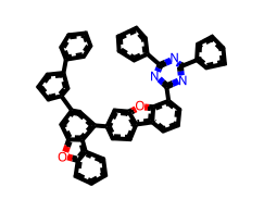 c1ccc(-c2cccc(-c3cc(-c4ccc5c(c4)oc4c(-c6nc(-c7ccccc7)nc(-c7ccccc7)n6)cccc45)c4c(c3)oc3ccccc34)c2)cc1